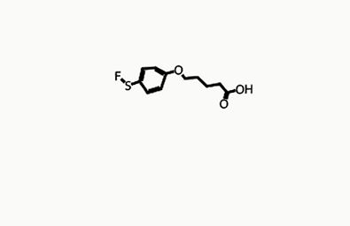 O=C(O)CCCCOc1ccc(SF)cc1